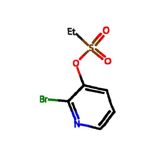 CCS(=O)(=O)Oc1cccnc1Br